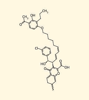 CCCc1c(OCCCCC/C=C\C=C\[C@@H](c2c(C(=O)O)oc3c(c2=O)=CCC(=S)C=3)[C@@H](O)c2cccc(Cl)c2)ccc(C(C)=O)c1O